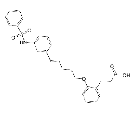 O=C(O)CCc1ccccc1OCCC/C=C/c1cccc(NS(=O)(=O)c2ccccc2)c1